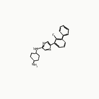 NC1CCC(Nc2cnc(-c3cccc(-c4ccccc4)c3F)cn2)CC1